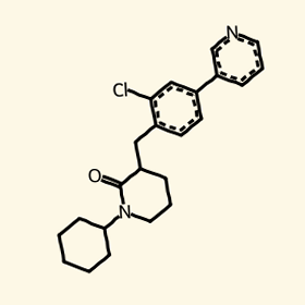 O=C1C(Cc2ccc(-c3cccnc3)cc2Cl)CCCN1C1CCCCC1